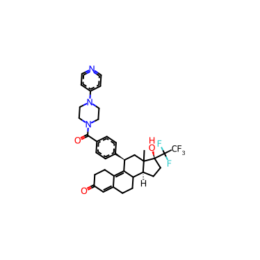 CC12C[C@H](c3ccc(C(=O)N4CCN(c5ccncc5)CC4)cc3)C3=C4CCC(=O)C=C4CCC3[C@@H]1CC[C@@]2(O)C(F)(F)C(F)(F)F